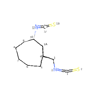 S=C=NCC1CCCCC[C@H](N=C=S)C1